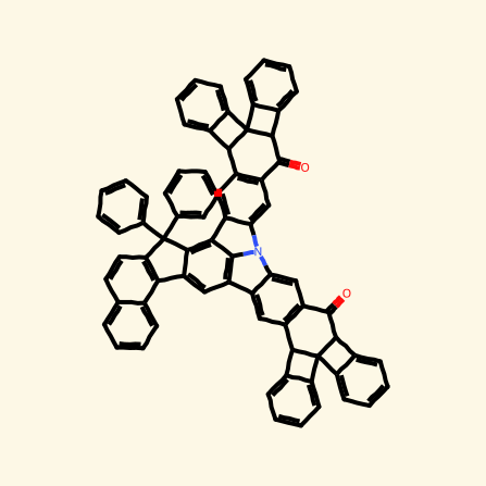 O=C1c2cc3c(cc2C2c4ccccc4C24c2ccccc2C14)c1cc2c(c4c5cc6c(cc5n3c14)C(=O)C1c3ccccc3C13c1ccccc1C63)C(c1ccccc1)(c1ccccc1)c1ccc3ccccc3c1-2